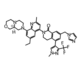 CCc1cc(N2CCN3CCOC[C@@H]3C2)c2nc(C)cc(N3CCc4c(cc(Cn5ccnc5)cc4-c4cn(C)nc4C(F)(F)F)C3=O)c2c1